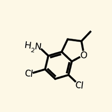 CC1Cc2c(N)c(Cl)cc(Cl)c2O1